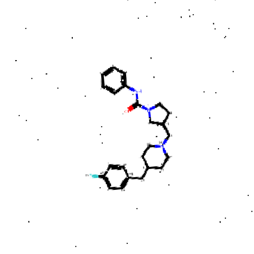 O=C(Nc1ccccc1)N1CCC(CN2CCC(Cc3ccc(F)cc3)CC2)C1